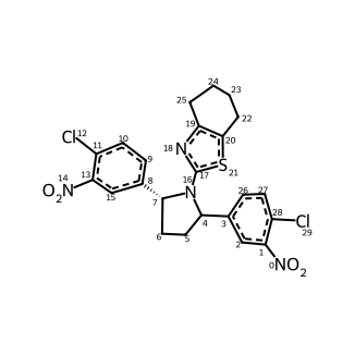 O=[N+]([O-])c1cc(C2CC[C@H](c3ccc(Cl)c([N+](=O)[O-])c3)N2c2nc3c(s2)CCCC3)ccc1Cl